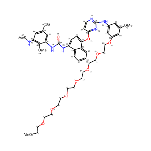 COCCOCCOCCOCCOCCOCCOCCOc1cc(Nc2nccc(Oc3ccc(NC(=O)Nc4cc(C(C)(C)C)cc(NSC)c4OC)c4ccccc34)n2)cc(OC)c1